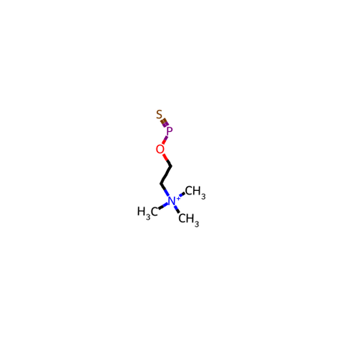 C[N+](C)(C)CCOP=S